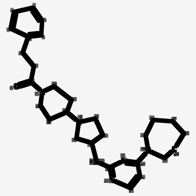 O=C(CCc1ccccc1)N1CCC(N2CCC(Nc3nccc(N4CCCCCC4)n3)C2)CC1